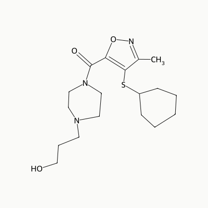 Cc1noc(C(=O)N2CCN(CCCO)CC2)c1SC1CCCCC1